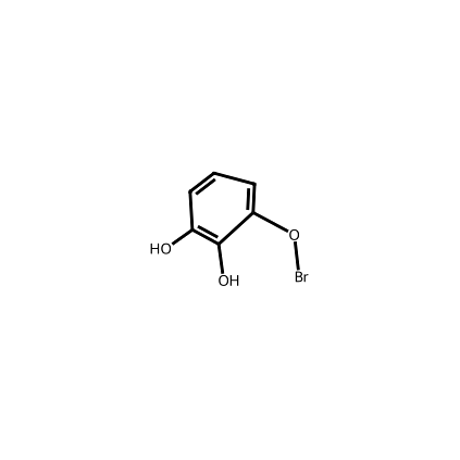 Oc1cccc(OBr)c1O